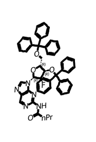 CCCC(=O)Nc1ncc2ncn([C@@H]3O[C@H](COC(c4ccccc4)(c4ccccc4)c4ccccc4)[C@@H](OC(c4ccccc4)(c4ccccc4)c4ccccc4)[C@@H]3F)c2n1